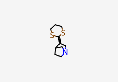 C1CSC(=C2CN3CCC2C3)SC1